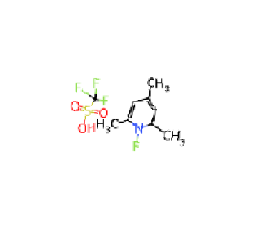 CC1=CC(C)N(F)C(C)=C1.O=S(=O)(O)C(F)(F)F